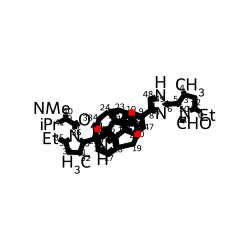 CCC1CC(C)C(c2nc(-c3ccc(-c4cc5ccc4CCc4ccc(c(-c6c[nH]c(C7C(C)CC(CC)N7C(=O)C(NC)C(C)C)n6)c4)CC5)cc3)c[nH]2)N1C=O